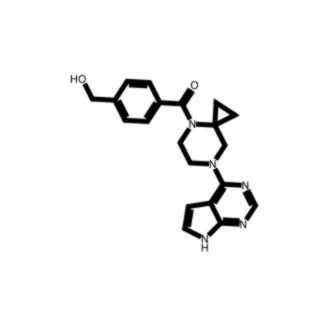 O=C(c1ccc(CO)cc1)N1CCN(c2ncnc3[nH]ccc23)CC12CC2